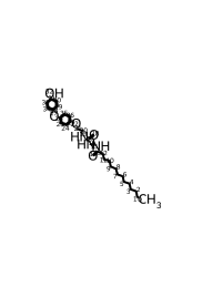 CCCCCCCCCCCCCC(=O)NNC(=O)NCCOc1ccc(Oc2ccc(O)cc2)cc1